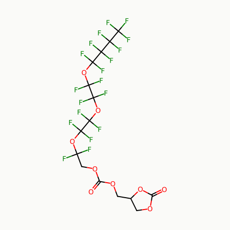 O=C(OCC1COC(=O)O1)OCC(F)(F)OC(F)(F)C(F)(F)OC(F)(F)C(F)(F)OC(F)(F)C(F)(F)C(F)(F)C(F)(F)F